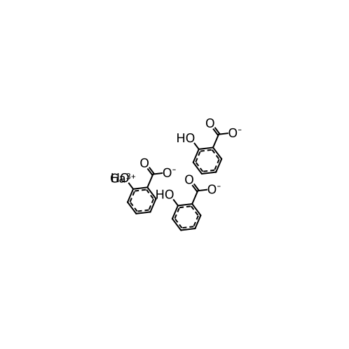 O=C([O-])c1ccccc1O.O=C([O-])c1ccccc1O.O=C([O-])c1ccccc1O.[Ga+3]